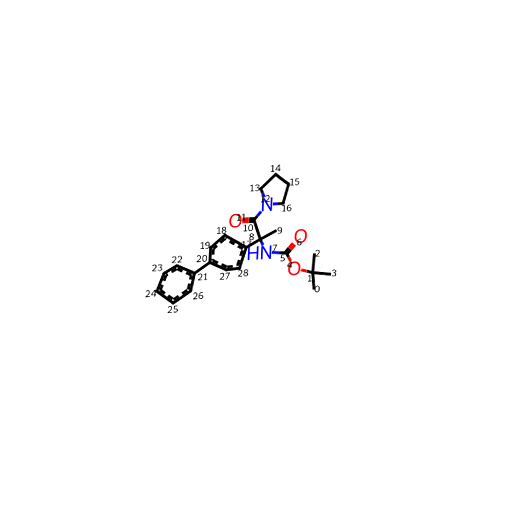 CC(C)(C)OC(=O)NC(C)(C(=O)N1CCCC1)c1ccc(-c2ccccc2)cc1